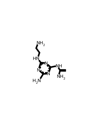 C=C(N)Nc1nc(N)nc(NCCN)n1